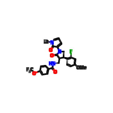 CCn1cccc(N2C[C@@H](c3ccc(OC)cc3F)C(CNC(=O)c3ccc(OC(F)(F)F)cc3)C2=O)c1=O